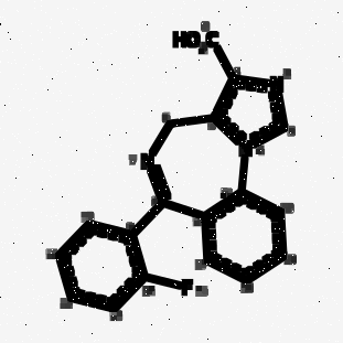 O=C(O)c1ncn2c1CN=C(c1ccccc1F)c1ccccc1-2